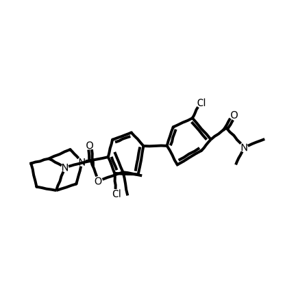 CN(C)C(=O)c1ccc(-c2ccc(N3CC4CCC(C3)N4C(=O)OC(C)(C)C)c(Cl)c2)cc1Cl